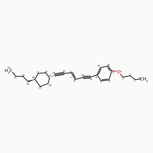 CCCCOc1ccc(C#C/C=C/C#C[C@H]2CC[C@H](CCCC)CC2)cc1